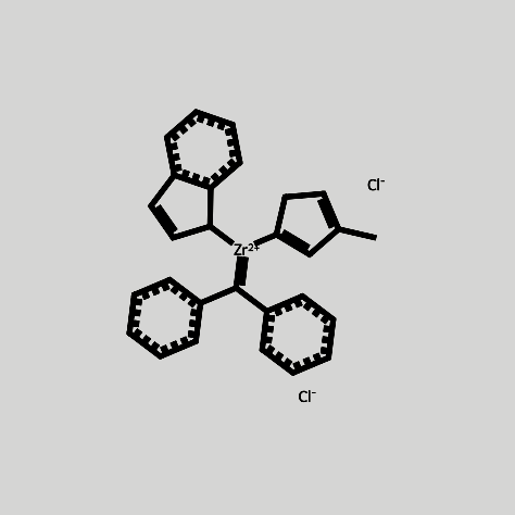 CC1=CC[C]([Zr+2](=[C](c2ccccc2)c2ccccc2)[CH]2C=Cc3ccccc32)=C1.[Cl-].[Cl-]